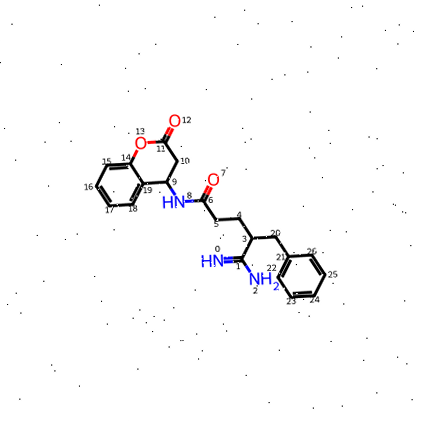 N=C(N)C(CCC(=O)NC1CC(=O)Oc2ccccc21)Cc1ccccc1